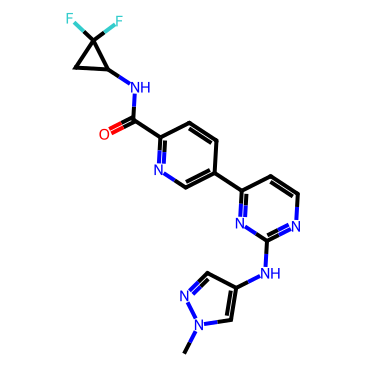 Cn1cc(Nc2nccc(-c3ccc(C(=O)NC4CC4(F)F)nc3)n2)cn1